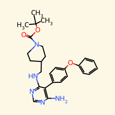 CC(C)(C)OC(=O)N1CCC(CNc2ncnc(N)c2-c2ccc(Oc3ccccc3)cc2)CC1